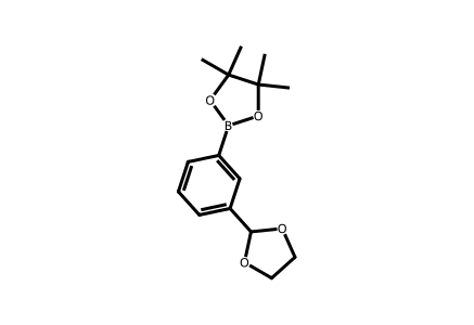 CC1(C)OB(c2cccc(C3OCCO3)c2)OC1(C)C